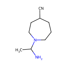 CC(N)N1CCCC(C#N)CC1